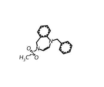 CS(=O)(=O)N1C=CN(Cc2ccccc2)c2ccccc2C1